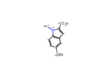 COc1ccc2c(c1)cc(C(=O)O)n2C(C)C